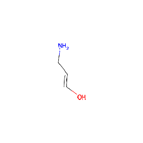 NCC=CO